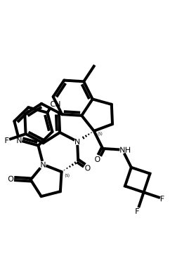 Cc1cccc2c1CC[C@]2(C(=O)NC1CC(F)(F)C1)N(C(=O)[C@@H]1CCC(=O)N1c1cc(C#N)ccn1)c1cccc(F)c1